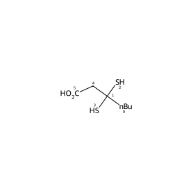 CCCCC(S)(S)CC(=O)O